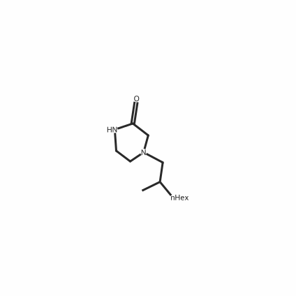 CCCCCCC(C)CN1CCNC(=O)C1